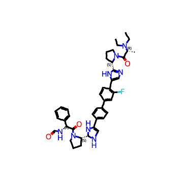 CCN(CC)[C@H](C)C(=O)N1CCC[C@H]1c1ncc(-c2ccc(-c3ccc(C4=CNC([C@@H]5CCCN5C(=O)[C@H](NC=O)c5ccccc5)N4)cc3)cc2F)[nH]1